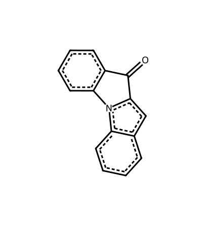 O=C1c2ccccc2-n2c1cc1ccccc12